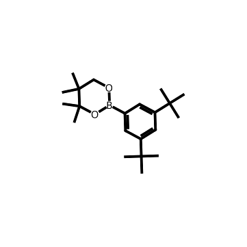 CC(C)(C)c1cc(B2OCC(C)(C)C(C)(C)O2)cc(C(C)(C)C)c1